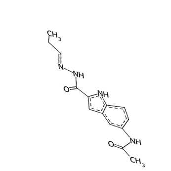 CC/C=N/NC(=O)c1cc2cc(NC(C)=O)ccc2[nH]1